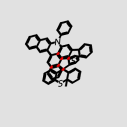 CC12CC=CC=C1C1(c3ccccc3S2)c2ccccc2-c2cc(-c3cc4ccccc4cc3N(c3ccccc3)c3cc(-c4ccccc4)c4sc5ccccc5c4c3)ccc21